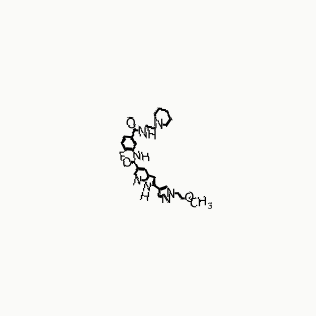 COCCn1cc(-c2cc3cc(C(=O)Nc4cc(C(=O)NCCN5CCCCC5)ccc4F)cnc3[nH]2)cn1